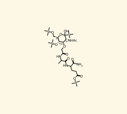 CC(=O)N[C@@H]1[C@@H](OCC(=O)NC(C)C(=O)NC(CCC(=O)O[Si](C)(C)C)C(N)=O)[C@H](O[Si](C)(C)C)[C@@H](CO[Si](C)(C)C)OC1(O)[Si](C)(C)C